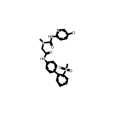 CN(CC(=O)Nc1ccc(-c2ccccc2S(C)(=O)=O)cc1)C(=O)Nc1ccc(Cl)cn1